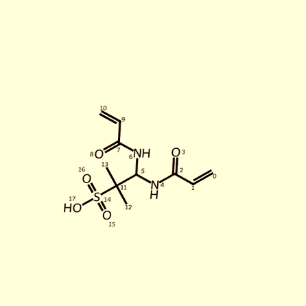 C=CC(=O)NC(NC(=O)C=C)C(C)(C)S(=O)(=O)O